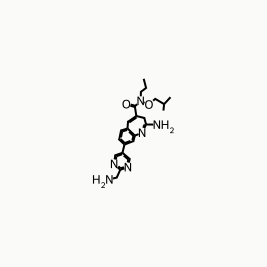 CCCN(OCC(C)C)C(=O)C1=Cc2ccc(-c3cnc(CN)nc3)cc2N=C(N)C1